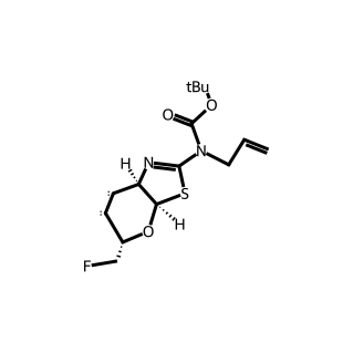 C=CCN(C(=O)OC(C)(C)C)C1=N[C@@H]2[C][C][C@@H](CF)O[C@@H]2S1